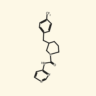 O=C(Nc1ccncn1)N1CCCC(Cc2ccc(C(F)(F)F)cc2)C1